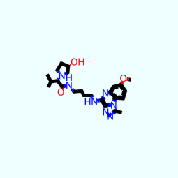 COc1ccc2c(c1)nc(NCCCCNC(=O)C(C(C)C)N1CC[C@H](O)C1)c1nnc(C)n12